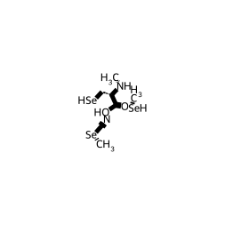 CN[C@@H](C[SeH])C(=O)O.C[SeH].C[Se]C#N